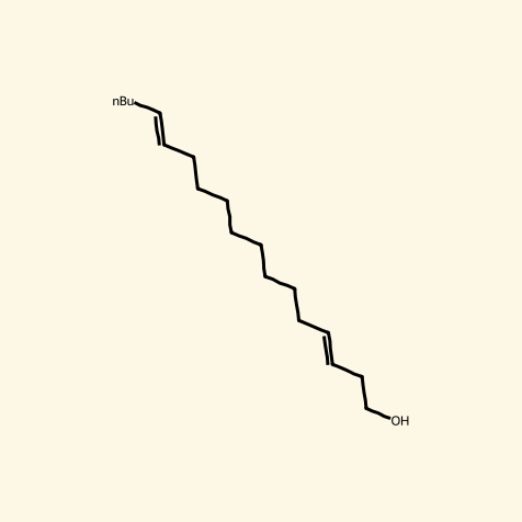 CCCCC=CCCCCCCCCC=CCCO